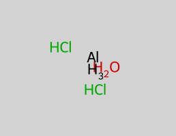 Cl.Cl.O.[AlH3]